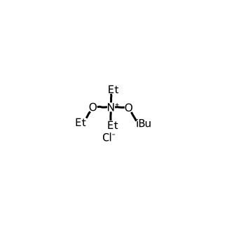 CCO[N+](CC)(CC)OC(C)CC.[Cl-]